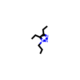 CCCn1nnc(CC)c1CC